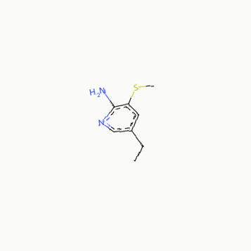 CCc1cnc(N)c(SC)c1